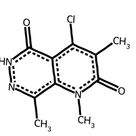 Cc1c(Cl)c2c(=O)[nH]nc(C)c2n(C)c1=O